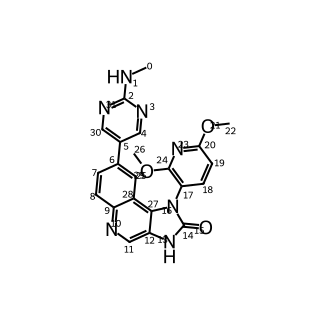 CNc1ncc(-c2ccc3ncc4[nH]c(=O)n(-c5ccc(OC)nc5OC)c4c3c2)cn1